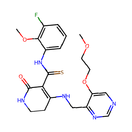 COCCOc1cncnc1CNC1=C(C(=S)Nc2cccc(F)c2OC)C(=O)NCC1